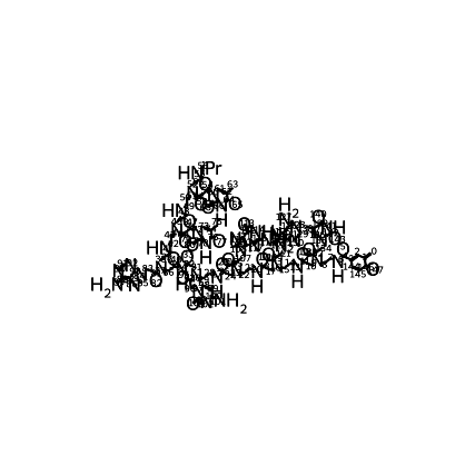 C=C1C=C(C(=O)NCCN(CC(=O)NCCN(CC(=O)NCCN(CC(=O)NCCN(CC(=O)NCCN(CC(=O)NCCN(CC(=O)NCCN(CC(=O)NC(C)C)C(=O)Cn2cc(C)c(=O)[nH]c2=O)C(=O)Cn2cc(C)c(=O)[nH]c2=O)C(=O)Cn2cnc3c(N)ncnc32)C(=O)Cn2ccc(N)nc2=O)C(=O)Cn2cnc3c(=O)[nH]c(N)nc32)C(=O)Cn2cnc3c(N)ncnc32)C(=O)Cn2cc(C)c(=O)[nH]c2=O)C=CC1=O